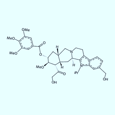 COc1cc(C(=O)O[C@@H]2C[C@@H]3CN4CCc5c(n(C(C)C)c6cc(CO)ccc56)[C@H]4C[C@@H]3[C@H](C(=O)CO)[C@H]2OC)cc(OC)c1OC